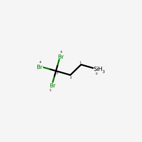 [SiH3]CCC(Br)(Br)Br